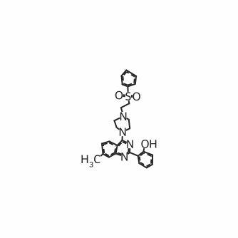 Cc1ccc2c(N3CCN(CCS(=O)(=O)c4ccccc4)CC3)nc(-c3ccccc3O)nc2c1